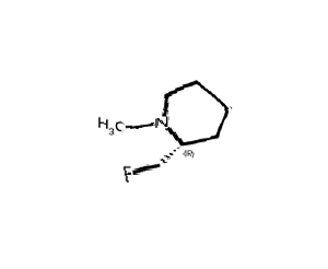 CN1CC[CH]C[C@@H]1CF